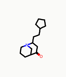 O=C1CC(CCC2CCCC2)N2CCCC1C2